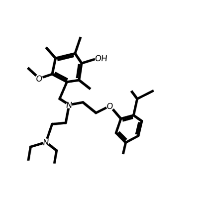 CCN(CC)CCN(CCOc1cc(C)ccc1C(C)C)Cc1c(C)c(O)c(C)c(C)c1OC